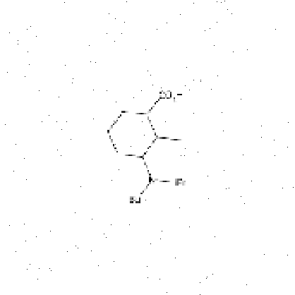 CCC(C)N(C(C)C)C1CCCC(C(=O)O)C1C